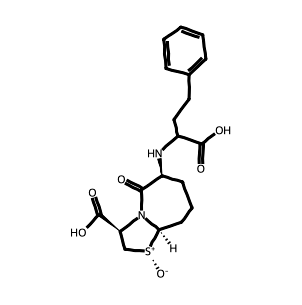 O=C(O)C(CCc1ccccc1)N[C@H]1CCC[C@@H]2N(C1=O)[C@H](C(=O)O)C[S@@+]2[O-]